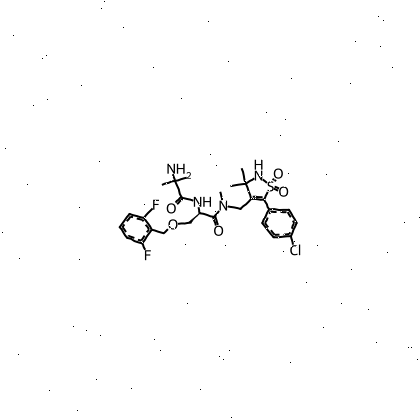 CN(CC1=C(c2ccc(Cl)cc2)S(=O)(=O)NC1(C)C)C(=O)[C@@H](COCc1c(F)cccc1F)NC(=O)C(C)(C)N